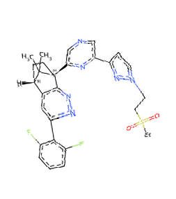 CCS(=O)(=O)CCn1ccc(-c2cncc([C@@]34CC[C@@H](c5cc(-c6c(F)cccc6F)nnc53)C4(C)C)n2)n1